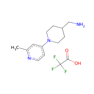 Cc1cc(N2CCC(CN)CC2)ccn1.O=C(O)C(F)(F)F